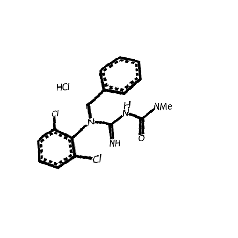 CNC(=O)NC(=N)N(Cc1ccccc1)c1c(Cl)cccc1Cl.Cl